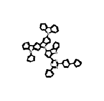 c1ccc(-c2ccc(-c3nc(-c4ccccc4)nc(-c4ccc(-n5c6ccc(-n7c8ccccc8c8ccccc87)cc6c6cc7c8ccccc8n(-c8ccccc8)c7cc65)c5c4oc4ccccc45)n3)cc2)cc1